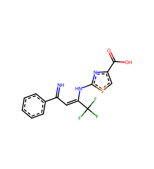 N=C(/C=C(\Nc1nc(C(=O)O)cs1)C(F)(F)F)c1ccccc1